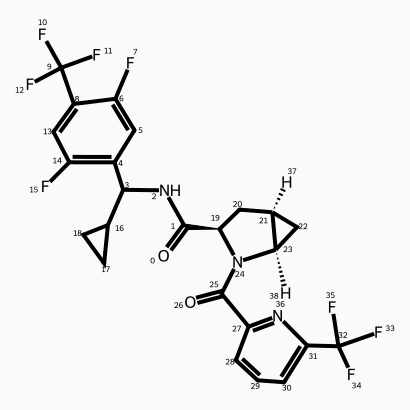 O=C(NC(c1cc(F)c(C(F)(F)F)cc1F)C1CC1)[C@H]1C[C@H]2C[C@H]2N1C(=O)c1cccc(C(F)(F)F)n1